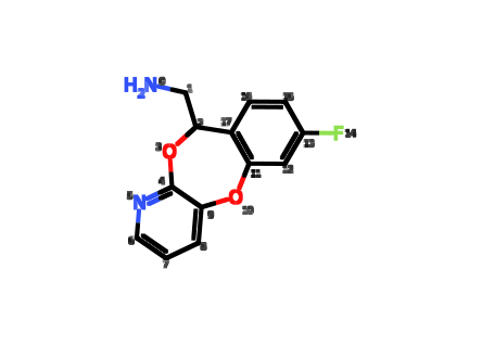 NCC1Oc2ncccc2Oc2cc(F)ccc21